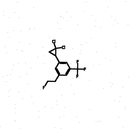 FCCc1cc(C2CC2(Cl)Cl)cc(C(F)(F)F)c1